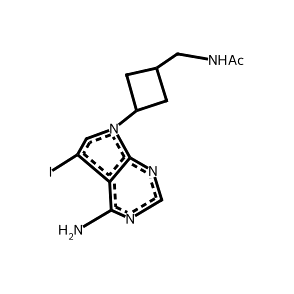 CC(=O)NCC1CC(n2cc(I)c3c(N)ncnc32)C1